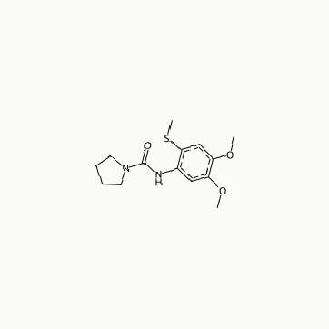 COc1cc(NC(=O)N2CCCC2)c(SC)cc1OC